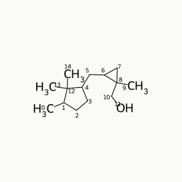 CC1CCC(CC2CC2(C)CO)C1(C)C